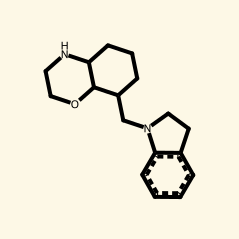 c1ccc2c(c1)CCN2CC1CCCC2NCCOC12